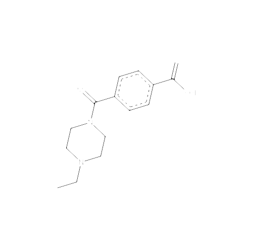 CCN1CCN(C(=O)c2ccc(C(=O)O)cc2)CC1